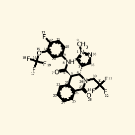 Cn1cc([C@H]2[C@H](C(=O)Nc3ccc(F)c(OC(F)(F)F)c3)c3ccccc3C(=O)N2CC(F)(F)F)cn1